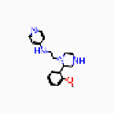 COc1ccccc1C1CNCCN1CCNc1ccncc1